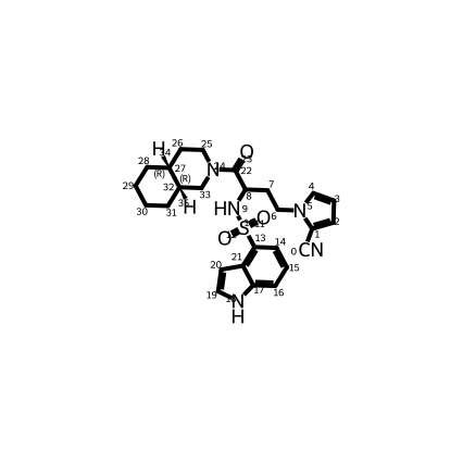 N#Cc1cccn1CCC(NS(=O)(=O)c1cccc2[nH]ccc12)C(=O)N1CC[C@H]2CCCC[C@H]2C1